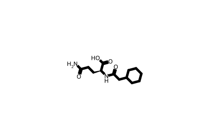 NC(=O)CC[C@H](NC(=O)CC1CCCCC1)C(=O)O